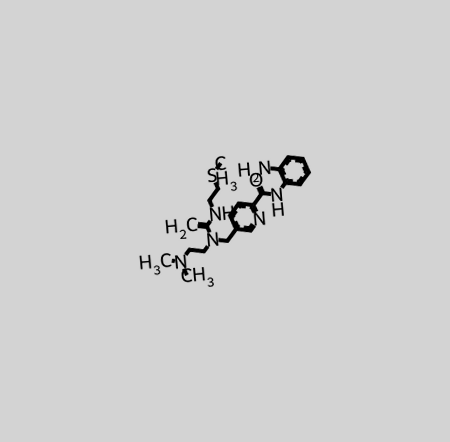 C=C(NCCSC)N(CCN(C)C)Cc1ccc(C(=O)Nc2ccccc2N)nc1